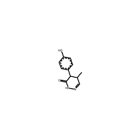 CC1C=NNC(=O)C1c1ccc(O)cc1